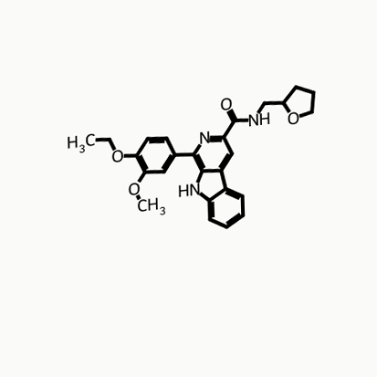 CCOc1ccc(-c2nc(C(=O)NCC3CCCO3)cc3c2[nH]c2ccccc23)cc1OC